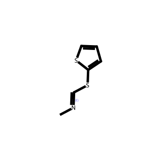 C/N=C/Sc1cccs1